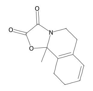 CC12OC(=O)C(=O)N1CCC1=C2CCC=C1